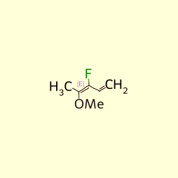 C=C/C(F)=C(/C)OC